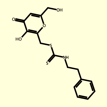 O=c1cc(CO)oc(CSC(=S)NCCc2ccccc2)c1O